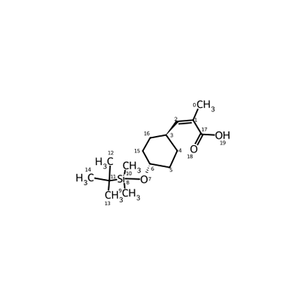 CC(=C[C@H]1CC[C@H](O[Si](C)(C)C(C)(C)C)CC1)C(=O)O